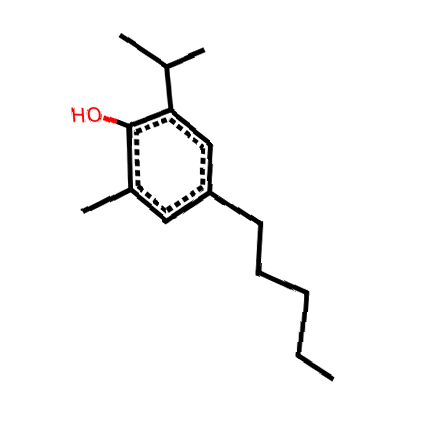 CCCCCc1cc(C)c(O)c(C(C)C)c1